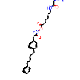 NCC(=O)NCCCCCC(=O)ONC(=O)Cc1ccc(CCCCc2ccccc2)cc1